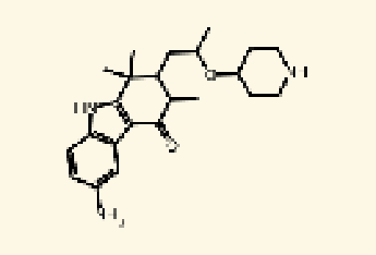 CC(CC1C(C)C(=O)c2c([nH]c3ccc(N)cc23)C1(C)C)OC1CCNCC1